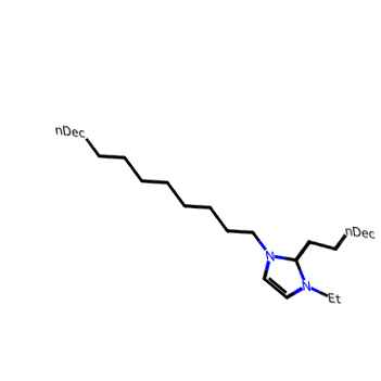 CCCCCCCCCCCCCCCCCCN1C=CN(CC)C1CCCCCCCCCCCC